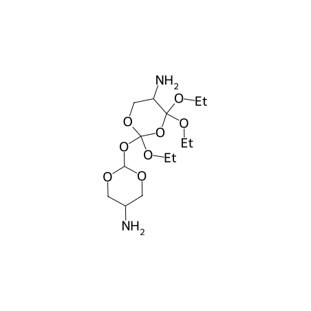 CCOC1(OC2OCC(N)CO2)OCC(N)C(OCC)(OCC)O1